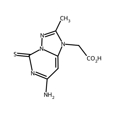 Cc1nn2c(=S)nc(N)cc2n1CC(=O)O